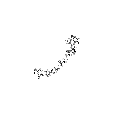 O=C(CCCN1CCN(c2ccc(NC3CCC(=O)NC3=O)cc2)CC1)NCCCNC(=O)c1cnn2ccc(N3CCC[C@@H]3c3cc(F)ccc3F)nc12